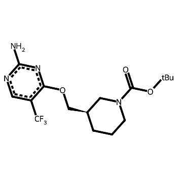 CC(C)(C)OC(=O)N1CCC[C@@H](COc2nc(N)ncc2C(F)(F)F)C1